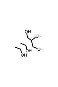 CCO.CCO.OCC(O)CO